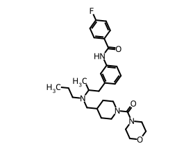 CCCN(CC1CCN(C(=O)N2CCOCC2)CC1)C(C)Cc1cccc(NC(=O)c2ccc(F)cc2)c1